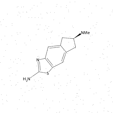 CN[C@@H]1Cc2cc3nc(N)sc3cc2C1